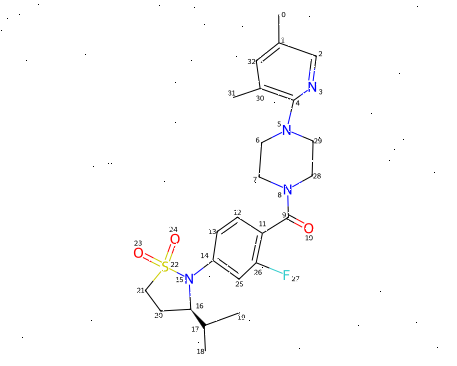 Cc1cnc(N2CCN(C(=O)c3ccc(N4[C@@H](C(C)C)CCS4(=O)=O)cc3F)CC2)c(C)c1